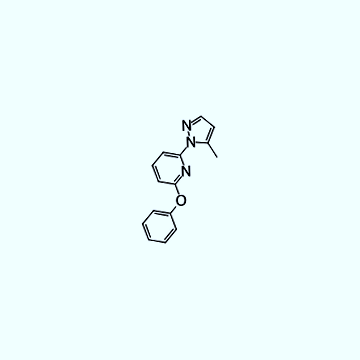 Cc1ccnn1-c1cccc(Oc2ccccc2)n1